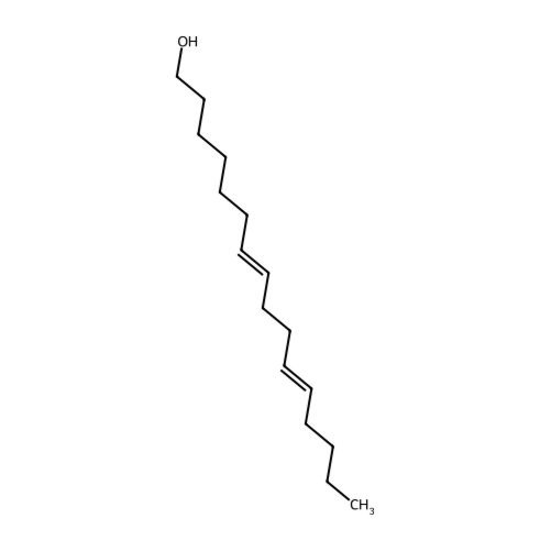 CCCCC=CCCC=CCCCCCCO